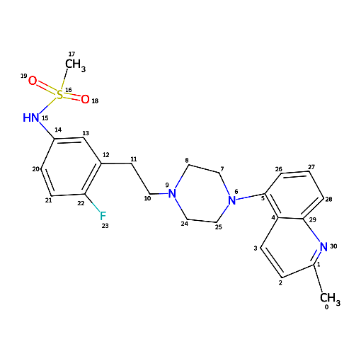 Cc1ccc2c(N3CCN(CCc4cc(NS(C)(=O)=O)ccc4F)CC3)cccc2n1